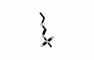 CCOC=NS(C)(=O)=O